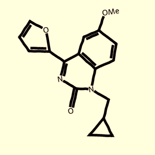 COc1ccc2c(c1)c(-c1ccco1)nc(=O)n2CC1CC1